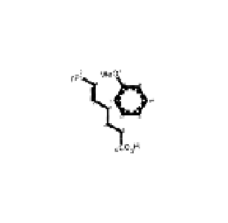 CCCC=CCCCC(=O)O.COc1ccccc1